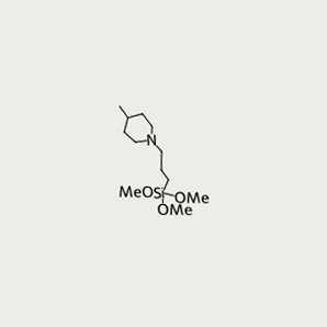 CO[Si](CCCN1CCC(C)CC1)(OC)OC